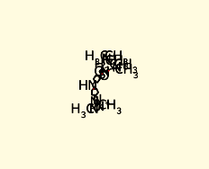 Cn1cc[n+](C)c1/N=N/c1ccc(Nc2ccc(S(=O)(=O)N(CCC[N+](C)(C)C)CCC[N+](C)(C)C)cc2)cc1